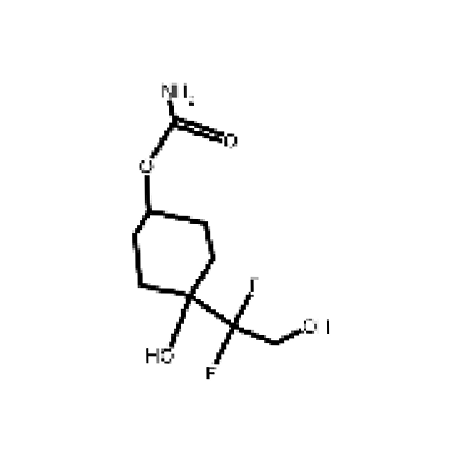 NC(=O)OC1CCC(O)(C(F)(F)CO)CC1